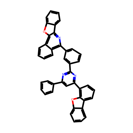 c1ccc(-c2cc(-c3cccc4c3oc3ccccc34)nc(-c3cccc(-c4nc5c6ccccc6oc5c5ccccc45)c3)n2)cc1